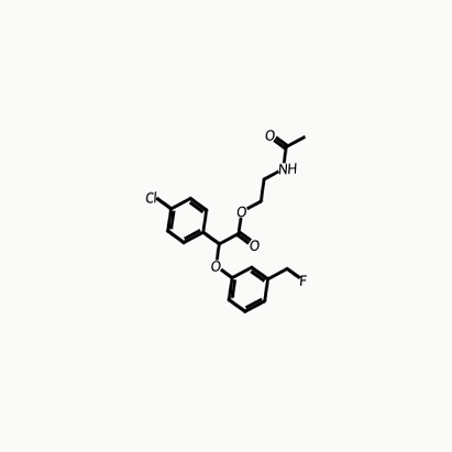 CC(=O)NCCOC(=O)C(Oc1cccc(CF)c1)c1ccc(Cl)cc1